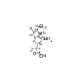 CCC(CC(=O)O)c1ccc(N2CCOCC2C(C)C)c(N)c1